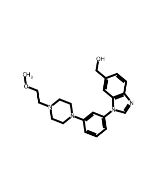 COCCN1CCN(c2cccc(-n3cnc4ccc(CO)cc43)c2)CC1